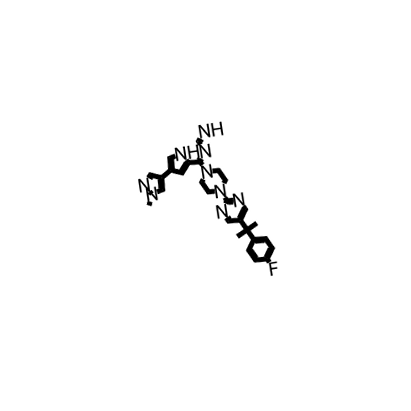 Cn1cc(-c2c[nH]c(/C(=N\C=N)N3CCN(c4ncc(C(C)(C)c5ccc(F)cc5)cn4)CC3)c2)cn1